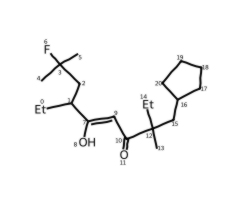 CCC(CC(C)(C)F)/C(O)=C/C(=O)C(C)(CC)CC1CCCC1